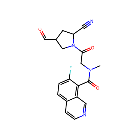 CN(CC(=O)N1CC(C=O)CC1C#N)C(=O)c1c(F)ccc2ccncc12